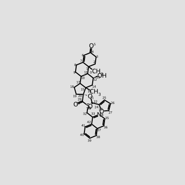 CC12CCC(=O)C=C1CCC1C2[C@@H](O)CC2(C)C1CC[C@]2(OC(=O)c1ccco1)C(=O)SCc1nccc2ccccc12